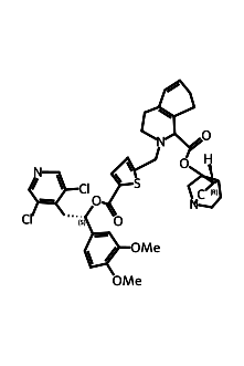 COc1ccc([C@H](Cc2c(Cl)cncc2Cl)OC(=O)c2ccc(CN3CCC4=C(CCC=C4)C3C(=O)O[C@H]3CN4CCC3CC4)s2)cc1OC